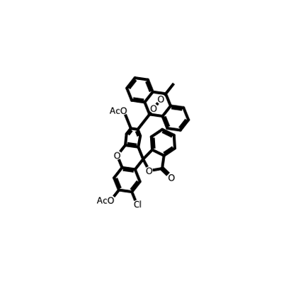 CC(=O)Oc1cc2c(cc1Cl)C1(OC(=O)c3ccccc31)c1cc(C34OOC(C)(c5ccccc53)c3ccccc34)c(OC(C)=O)cc1O2